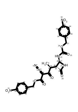 C[C@H](C(=O)C(=[N+]=[N-])C(=O)OCc1ccc([N+](=O)[O-])cc1)[C@H]1C(=O)N[C@@H]1NC(=O)OCc1ccc([N+](=O)[O-])cc1